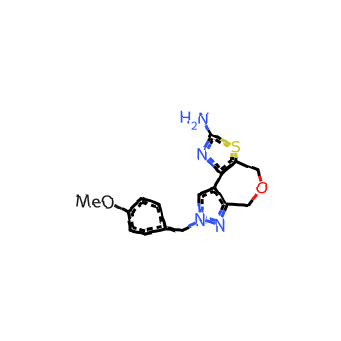 COc1ccc(Cn2cc3c(n2)COCc2sc(N)nc2-3)cc1